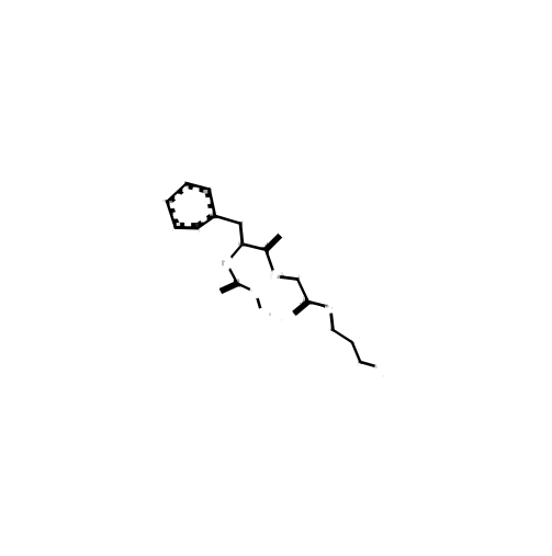 CC(C)(C)OC(=O)NC(Cc1ccccc1)C(=O)NCC(=O)NCCCO